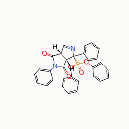 O=C1[C@@H]2[C@@H](C=N[C@@]2(c2ccccc2)P(=O)(Oc2ccccc2)Oc2ccccc2)C(=O)N1c1ccccc1